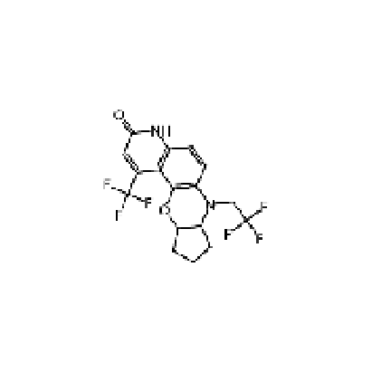 O=c1cc(C(F)(F)F)c2c3c(ccc2[nH]1)N(CC(F)(F)F)C1CCCC1O3